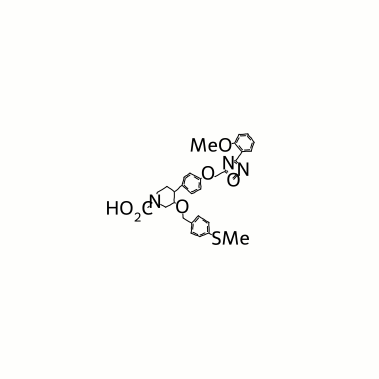 COc1ccccc1-c1noc(COc2ccc(C3CCN(C(=O)O)CC3OCc3ccc(SC)cc3)cc2)n1